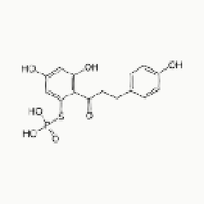 O=C(CCc1ccc(O)cc1)c1c(O)cc(O)cc1SP(=O)(O)O